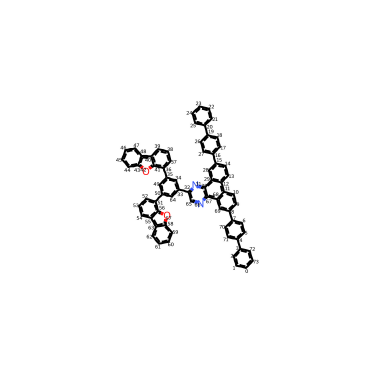 c1ccc(-c2ccc(-c3ccc4c5ccc(-c6ccc(-c7ccccc7)cc6)cc5c5nc(-c6cc(-c7cccc8c7oc7ccccc78)cc(-c7cccc8c7oc7ccccc78)c6)cnc5c4c3)cc2)cc1